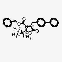 CC(C)(C)[C@@H]1OC(=O)[C@H](Cc2ccc(-c3ccccc3)cc2)N1C(=O)OCc1ccccc1